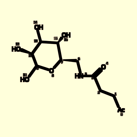 CC(=O)CCC(=O)NC[C@@H]1OC(O)[C@@H](O)C(O)[C@@H]1O